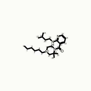 CCCCCCN1CCN(C(=O)c2cccnc2NCCC(C)C)C(C)(C)C1